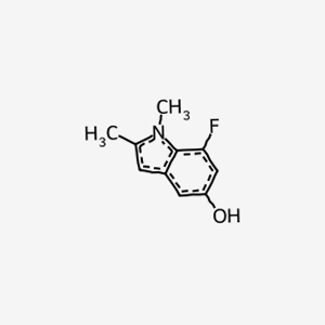 Cc1cc2cc(O)cc(F)c2n1C